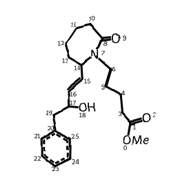 COC(=O)CCCCN1C(=O)CCCCC1C=CC(O)Cc1ccccc1